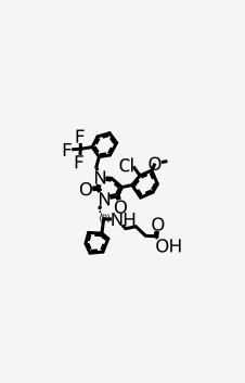 COc1cccc(-c2cn(Cc3ccccc3C(F)(F)F)c(=O)n(C[C@H](NCCCC(=O)O)c3ccccc3)c2=O)c1Cl